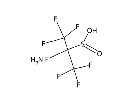 N.O=S(O)C(F)(C(F)(F)F)C(F)(F)F